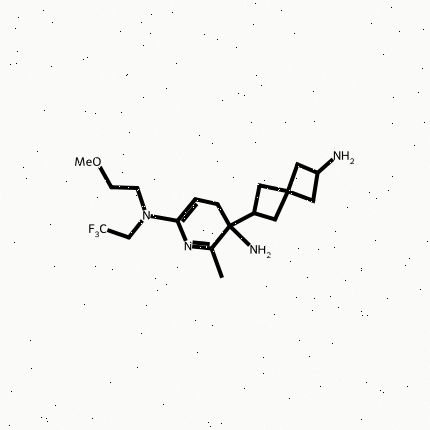 COCCN(CC(F)(F)F)C1=CCC(N)(C2CC3(CC(N)C3)C2)C(C)=N1